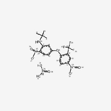 CC(C)(C)Nc1cc(Oc2ccc([N+](=O)[O-])cc2C(F)(F)F)ccc1[N+](=O)[O-].O=[PH](O)O